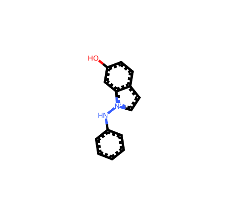 Oc1ccc2ccn(Nc3ccccc3)c2c1